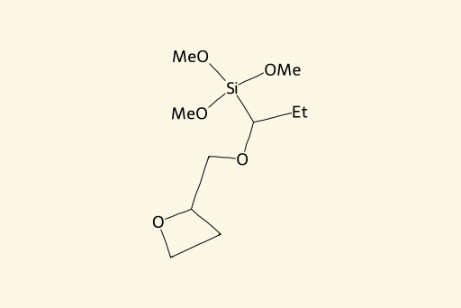 CCC(OCC1CCO1)[Si](OC)(OC)OC